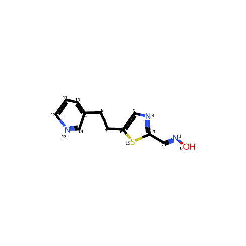 O/N=C/c1ncc(CCc2cccnc2)s1